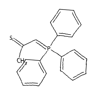 CC(=S)C=P(c1ccccc1)(c1ccccc1)c1ccccc1